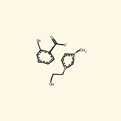 C[n+]1ccn(CCO)c1.O=C([O-])c1ccccc1S